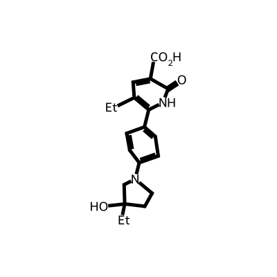 CCc1cc(C(=O)O)c(=O)[nH]c1-c1ccc(N2CCC(O)(CC)C2)cc1